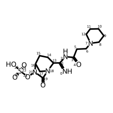 N=C(NC(=O)CCN1CCCCC1)C1CCC2CN1C(=O)N2OS(=O)(=O)O